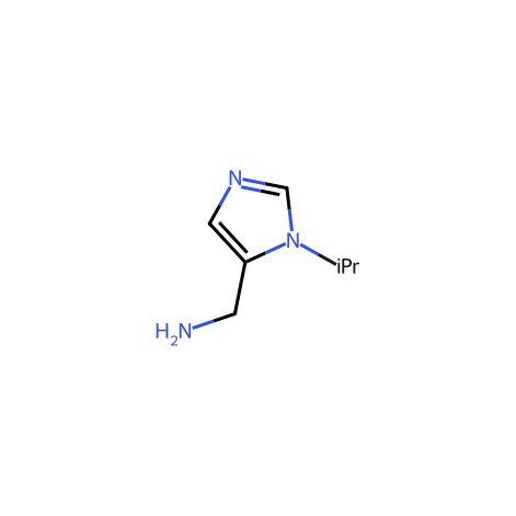 CC(C)n1cncc1CN